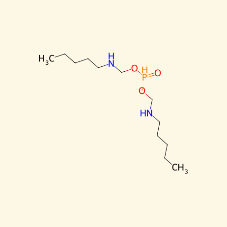 CCCCCNCO[PH](=O)OCNCCCCC